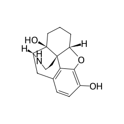 Oc1ccc2c3c1O[C@H]1CCC[C@@]4(O)[C@@H](C2)NCC[C@]314